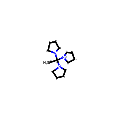 [SiH3]C(N1CCCC1)(N1CCCC1)N1CCCC1